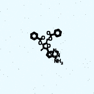 C[C@@H]1C(c2ccc3c(N)ncnn23)O[C@H](COC(=O)c2ccccc2)[C@H]1OC(=O)c1ccccc1